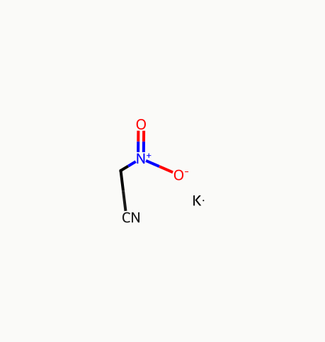 N#CC[N+](=O)[O-].[K]